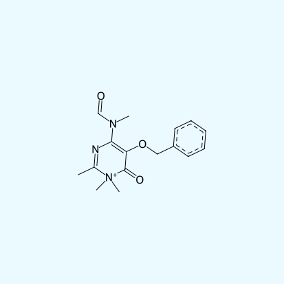 CC1=NC(N(C)C=O)=C(OCc2ccccc2)C(=O)[N+]1(C)C